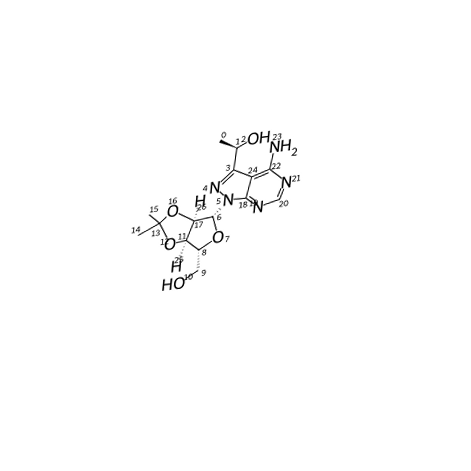 C[C@@H](O)c1nn([C@@H]2O[C@H](CO)[C@H]3OC(C)(C)O[C@H]32)c2ncnc(N)c12